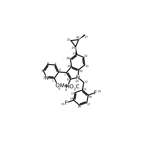 COc1ncccc1-c1c(C(=O)O)n(Cc2cc(F)ccc2F)c2ccc([C@H]3C[C@H]3C)cc12